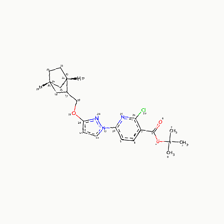 CC(C)(C)OC(=O)c1ccc(-n2ccc(OCC3C[C@@H]4CC[C@H]3C4)n2)nc1Cl